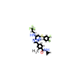 Cc1cc(-c2cnc3c(NCCC(F)(F)F)cc(Sc4ccc(F)c(F)c4)nn23)ccc1C(=O)NC1CC1